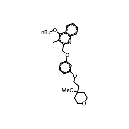 CCCCOc1c(C)c(COc2cccc(OCCC3(OC)CCOCC3)c2)nc2ccccc12